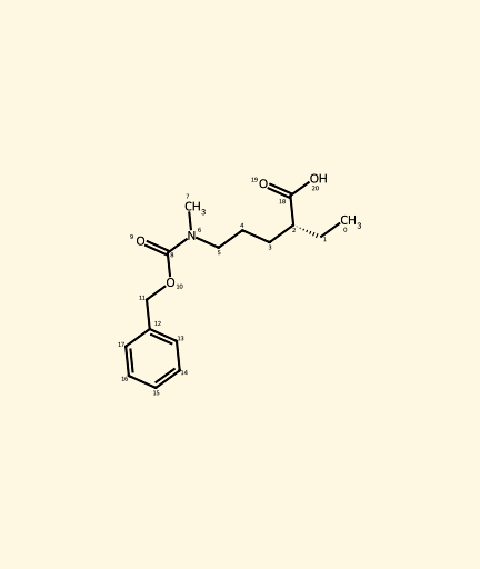 CC[C@H](CCCN(C)C(=O)OCc1ccccc1)C(=O)O